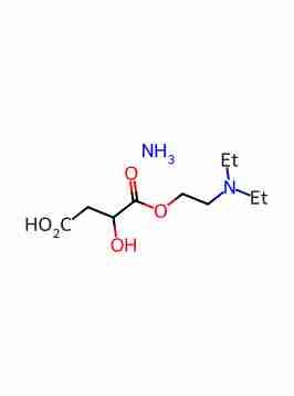 CCN(CC)CCOC(=O)C(O)CC(=O)O.N